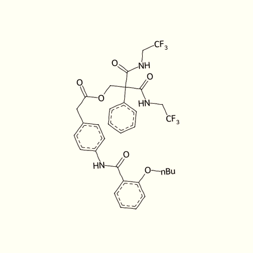 CCCCOc1ccccc1C(=O)Nc1ccc(CC(=O)OCC(C(=O)NCC(F)(F)F)(C(=O)NCC(F)(F)F)c2ccccc2)cc1